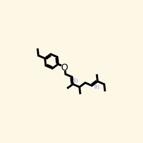 CC/C(C)=C/CC(C)/C(C)=C/COc1ccc(CC)cc1